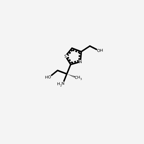 C[C@](N)(CO)c1nc(CO)cs1